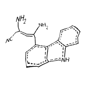 N#C/C(N)=C(/N)c1cccc2[nH]c3ccccc3c12